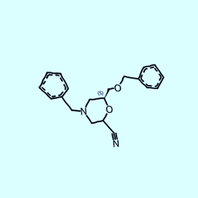 N#CC1CN(Cc2ccccc2)C[C@@H](COCc2ccccc2)O1